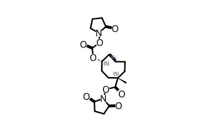 C[C@]1(C(=O)ON2C(=O)CCC2=O)CC/C=C/[C@@H](OC(=O)ON2CCCC2=O)CC1